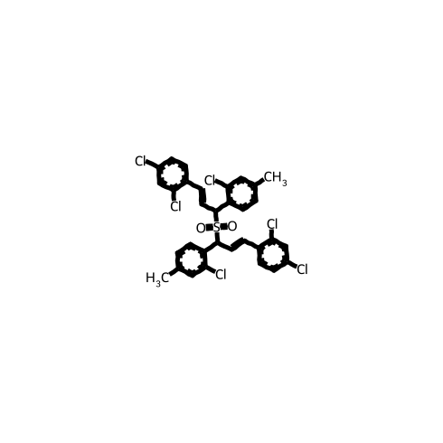 Cc1ccc(C(C=Cc2ccc(Cl)cc2Cl)S(=O)(=O)C(C=Cc2ccc(Cl)cc2Cl)c2ccc(C)cc2Cl)c(Cl)c1